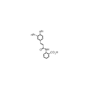 CCCc1ccc(/C=C/C(=O)Nc2ccccc2C(=O)O)cc1CCC